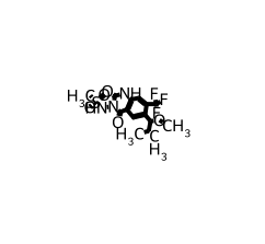 COC(c1cc2c(=O)n(NS(C)(=O)=O)c(=O)[nH]c2cc1C(F)(F)F)C(C)C